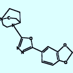 c1cc2c(cc1-c1nnc(N3CCN4CCC3CC4)o1)OCO2